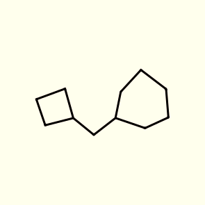 C1CCC(CC2CCC2)CC1